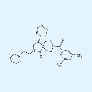 O=C(c1cc(C(F)(F)F)cc(C(F)(F)F)c1)N1CCC2(CC1)C(=O)N(CCN1CCCCC1)CN2c1ccccc1